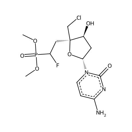 COP(=O)(OC)C(F)C[C@@]1(CCl)O[C@@H](n2ccc(N)nc2=O)C[C@@H]1O